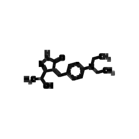 CCN(CC)c1ccc(/C=C2\C(=O)NN=C2C(C)O)cc1